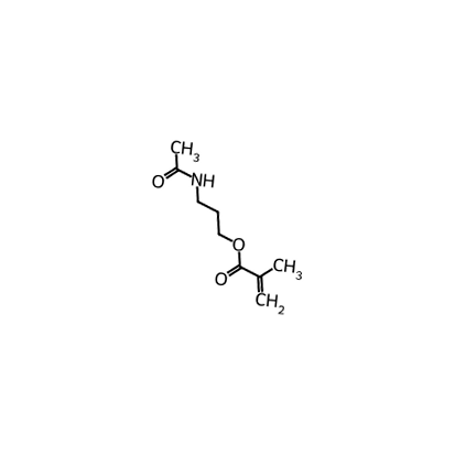 C=C(C)C(=O)OCCCNC(C)=O